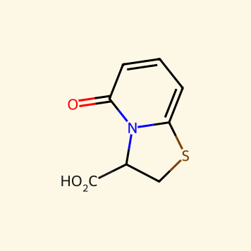 O=C(O)C1CSc2cccc(=O)n21